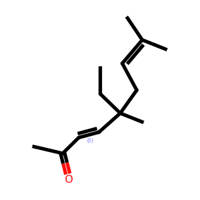 CCC(C)(/C=C/C(C)=O)CC=C(C)C